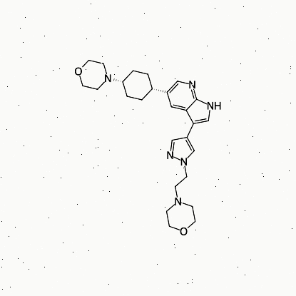 c1nn(CCN2CCOCC2)cc1-c1c[nH]c2ncc([C@H]3CC[C@@H](N4CCOCC4)CC3)cc12